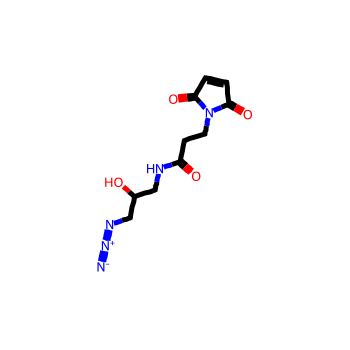 [N-]=[N+]=NCC(O)CNC(=O)CCN1C(=O)C=CC1=O